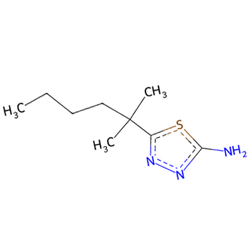 CCCCC(C)(C)c1nnc(N)s1